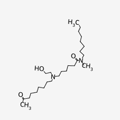 CCCCCCCCN(C)C(=O)CCCCCN(CCO)CCCCCCCC(C)=O